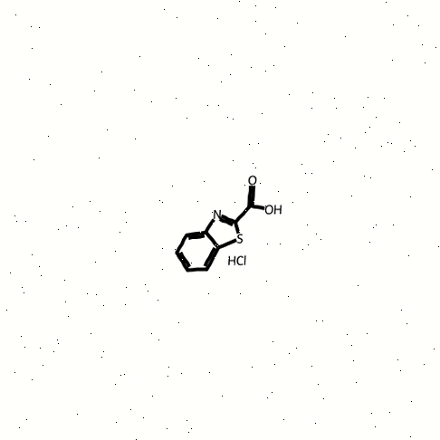 Cl.O=C(O)c1nc2ccccc2s1